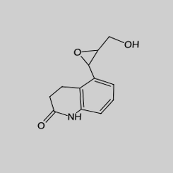 O=C1CCc2c(cccc2C2OC2CO)N1